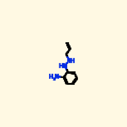 C=CCNNc1ccccc1N